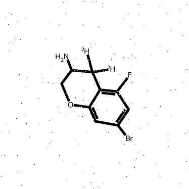 [2H]C1([2H])c2c(F)cc(Br)cc2OCC1N